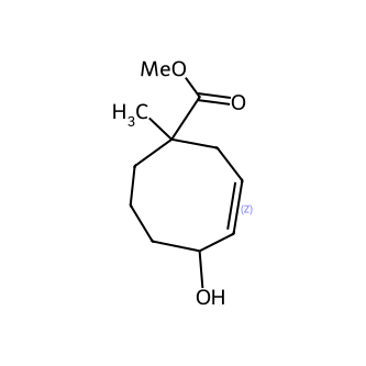 COC(=O)C1(C)C/C=C\C(O)CCC1